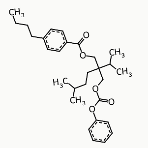 CCCCc1ccc(C(=O)OCC(CCC(C)C)(COC(=O)Oc2ccccc2)C(C)C)cc1